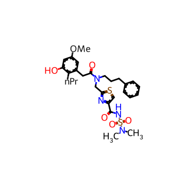 CCCc1c(O)cc(OC)cc1CC(=O)N(CCCc1ccccc1)Cc1nc(C(=O)NS(=O)(=O)N(C)C)cs1